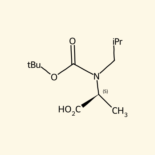 CC(C)CN(C(=O)OC(C)(C)C)[C@@H](C)C(=O)O